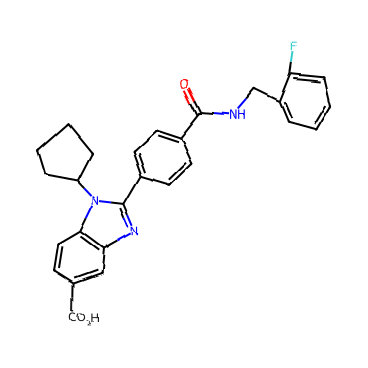 O=C(O)c1ccc2c(c1)nc(-c1ccc(C(=O)NCc3ccccc3F)cc1)n2C1CCCC1